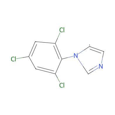 Clc1cc(Cl)c(-n2[c]cnc2)c(Cl)c1